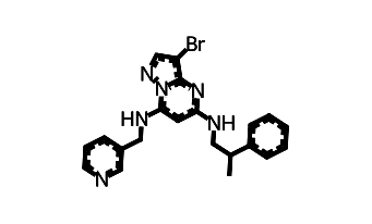 CC(CNc1cc(NCc2cccnc2)n2ncc(Br)c2n1)c1ccccc1